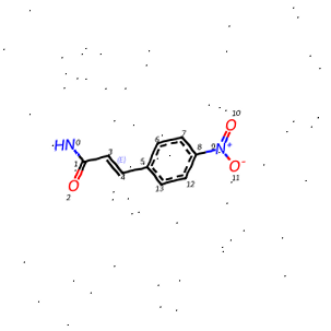 [NH]C(=O)/C=C/c1ccc([N+](=O)[O-])cc1